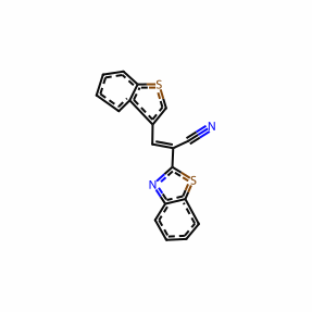 N#C/C(=C\c1csc2ccccc12)c1nc2ccccc2s1